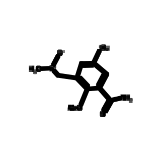 COc1c(C[S+](C)[O-])cc(C(C)(C)C)cc1C(N)=O